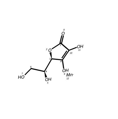 O=C1O[C@H]([C@@H](O)CO)C(O)=C1O.[Mn]